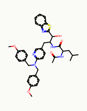 COc1ccc(CN(Cc2ccc(OC)cc2)c2ccc(CC(NC(=O)C(CC(C)C)NC(C)=O)C(O)c3nc4ccccc4s3)cn2)cc1